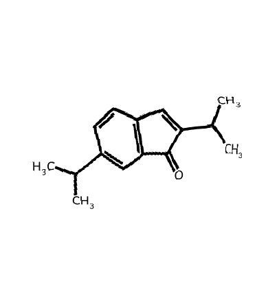 CC(C)C1=Cc2ccc(C(C)C)cc2C1=O